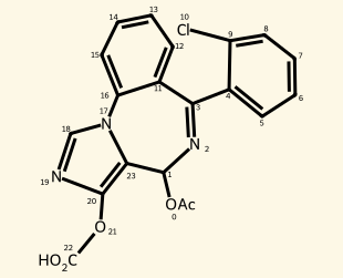 CC(=O)OC1N=C(c2ccccc2Cl)c2ccccc2-n2cnc(OC(=O)O)c21